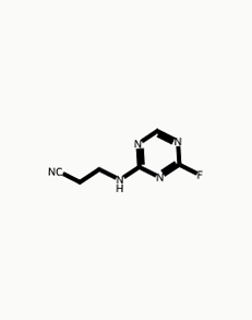 N#CCCNc1n[c]nc(F)n1